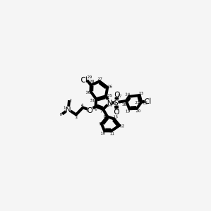 CN(C)CCOc1c(-c2ccccc2)n(S(=O)(=O)c2ccc(Cl)cc2)c2ccc(Cl)cc12